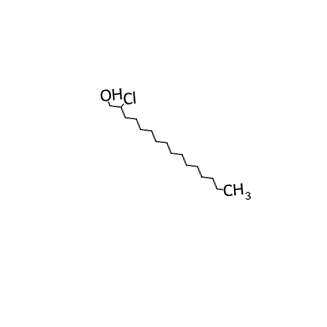 CCCCCCCCCCCCCCC(Cl)CO